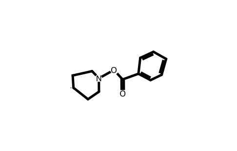 O=C(ON1CC[CH]CC1)c1ccccc1